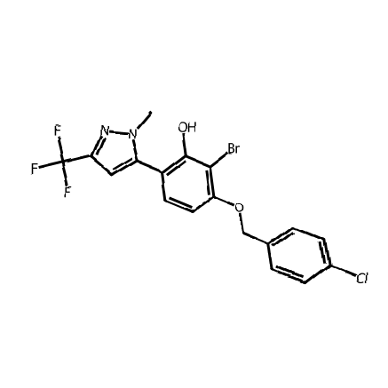 Cn1nc(C(F)(F)F)cc1-c1ccc(OCc2ccc(Cl)cc2)c(Br)c1O